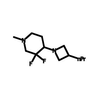 CCCC1CN(C2CCN(C)CC2(F)F)C1